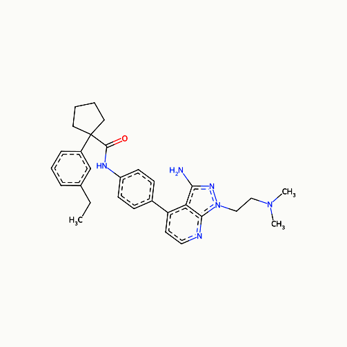 CCc1cccc(C2(C(=O)Nc3ccc(-c4ccnc5c4c(N)nn5CCN(C)C)cc3)CCCC2)c1